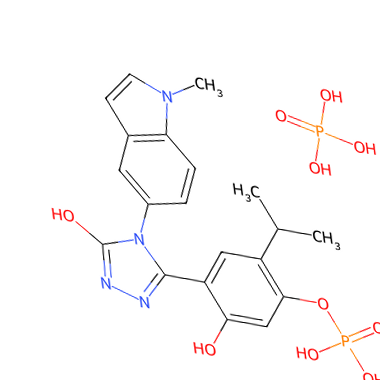 CC(C)c1cc(-c2nnc(O)n2-c2ccc3c(ccn3C)c2)c(O)cc1OP(=O)(O)O.O=P(O)(O)O